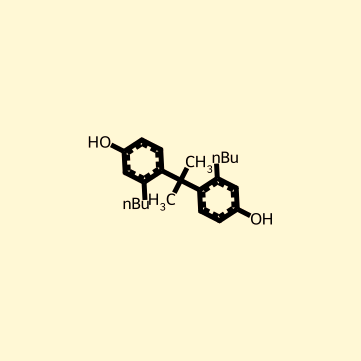 CCCCc1cc(O)ccc1C(C)(C)c1ccc(O)cc1CCCC